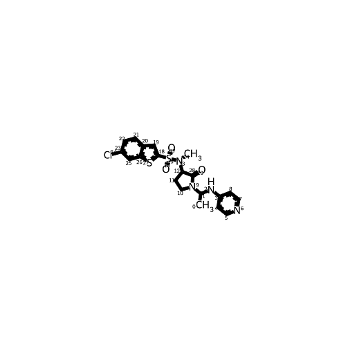 CC(Nc1ccncc1)N1CCC(N(C)S(=O)(=O)c2cc3ccc(Cl)cc3s2)C1=O